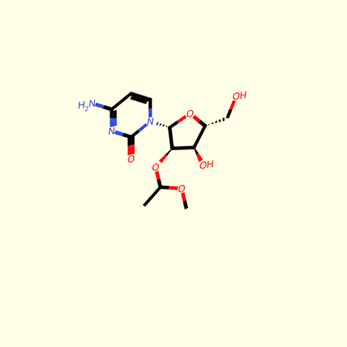 COC(C)O[C@@H]1[C@H](O)[C@@H](CO)O[C@H]1n1ccc(N)nc1=O